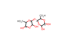 O=C(O)C1O[C@@H](O)C(O)O[C@@H]1O[C@@H]1OC(C(=O)O)[C@H](O)OC1O